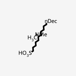 CCCCCCCCCCCCCCCCCCCCCS(=O)(=O)O.CNC